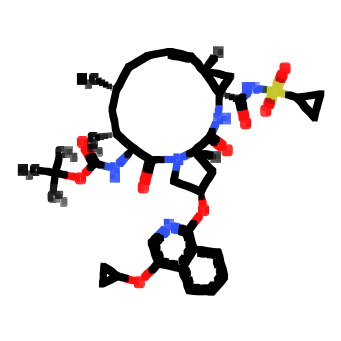 C[C@@H]1CC/C=C\[C@@H]2C[C@@]2(C(=O)NS(=O)(=O)C2CC2)NC(=O)[C@@H]2C[C@@H](Oc3ncc(OC4CC4)c4ccccc34)CN2C(=O)[C@@H](NC(=O)OC(C)(C)C(F)(F)F)[C@H](C)C1